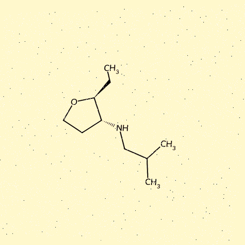 CC[C@@H]1OCC[C@H]1NCC(C)C